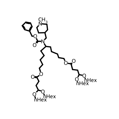 CCCCCCOC(CCC(=O)OCCCCCC(CCCCCOC(=O)CCC(OCCCCCC)OCCCCCC)N(CC1CCN(C)CC1)C(=O)OCc1ccccc1)OCCCCCC